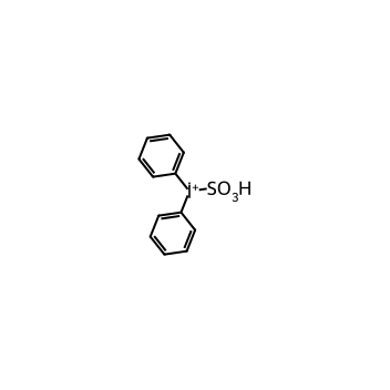 O=S(=O)(O)[I+](c1ccccc1)c1ccccc1